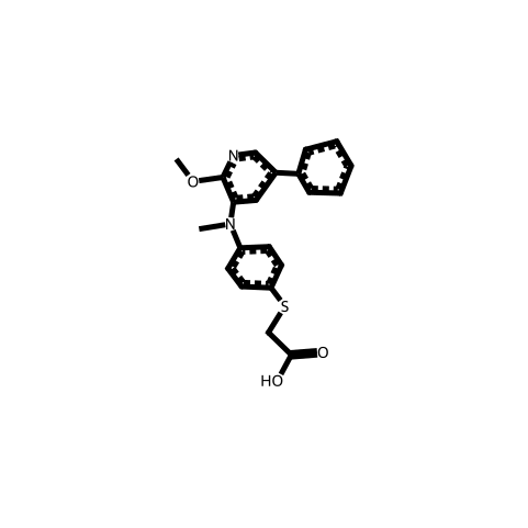 COc1ncc(-c2ccccc2)cc1N(C)c1ccc(SCC(=O)O)cc1